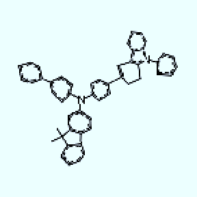 CC1(C)c2ccccc2-c2ccc(N(c3ccc(C4=Cc5c(n(-c6ccccc6)c6ccccc56)CC4)cc3)c3ccc(-c4ccccc4)cc3)cc21